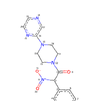 O=C(C(c1ccccc1)[N+](=O)[O-])N1CCN(c2cnccn2)CC1